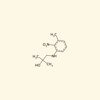 Cc1cccc(NCC(C)(C)O)c1[N+](=O)[O-]